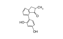 CC1Cc2cccc(-c3ccc(O)cc3O)c2C1=O